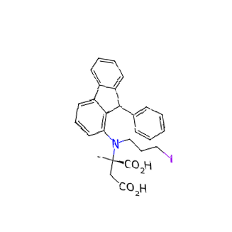 C[C@](CC(=O)O)(C(=O)O)N(CCCI)c1cccc2c1C(c1ccccc1)c1ccccc1-2